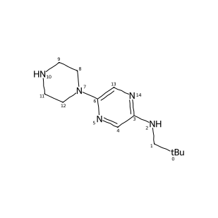 CC(C)(C)CNc1cnc(N2CCNCC2)cn1